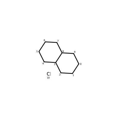 C1CCC2CCCCC2C1.[C]